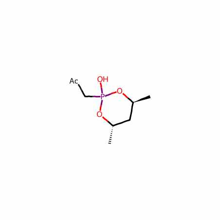 CC(=O)C[P]1(O)O[C@@H](C)C[C@H](C)O1